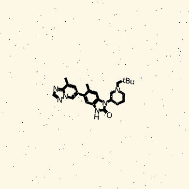 Cc1cc2c(cc1-c1cc(C)c3ncnn3c1)[nH]c(=O)n2C1CCCN(CC(C)(C)C)C1